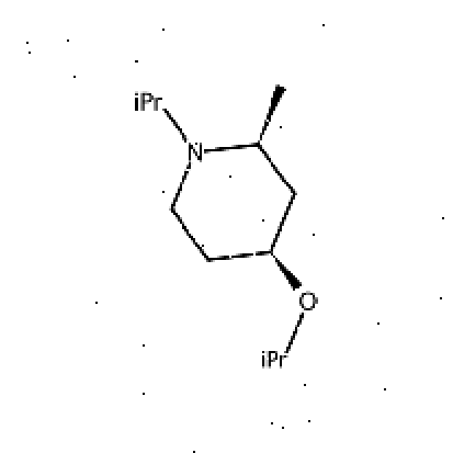 CC(C)O[C@H]1CCN(C(C)C)[C@@H](C)C1